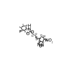 O=C(Nc1cccc(F)c1)OCCSc1ccc([N+](=O)[O-])c2nonc12